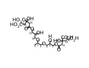 CC(COCC(O)COC(=O)CC(O)(CC(=O)O)C(=O)O)OCC(O)COC(=O)CC(O)(CC(=O)O)C(=O)O